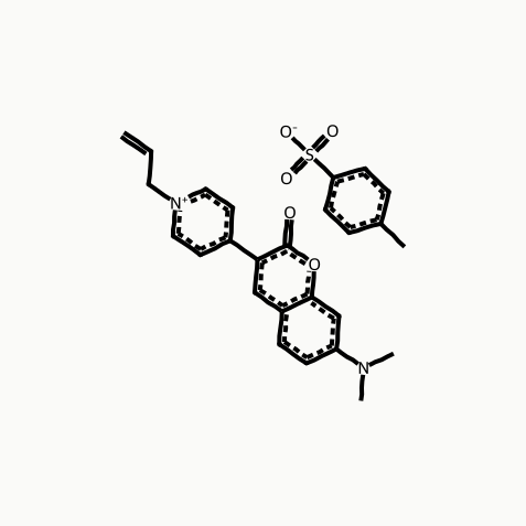 C=CC[n+]1ccc(-c2cc3ccc(N(C)C)cc3oc2=O)cc1.Cc1ccc(S(=O)(=O)[O-])cc1